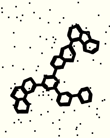 C1=C(c2nc(-c3cccc(-c4ccccc4)c3)nc(-c3ccc4cc(-c5cccc6oc7ccccc7c56)ccc4c3)n2)CCc2ccc3ccccc3c21